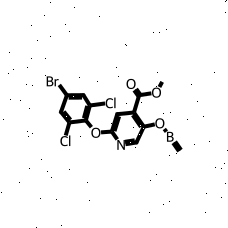 C=BOc1cnc(Oc2c(Cl)cc(Br)cc2Cl)cc1C(=O)OC